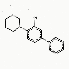 N#Cc1cc(-c2ccccc2)ccc1N1CCCCC1